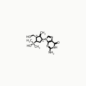 C=C1[C@H](CO)C([Si](C)(C)O)C[C@@H]1n1cnc2c(=O)[nH]c(N)nc21